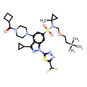 CC1(N(COCC[Si](C)(C)C)S(=O)(=O)c2cc(N3CCN(C(=O)C4CCC4)CC3)c3c(C4CC4)nn(-c4nnc(C(F)F)s4)c3c2)CC1